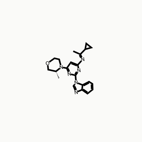 C/C(=N\c1cc(N2CCOC[C@H]2C)nc(-n2cnc3ccccc32)n1)C1CC1